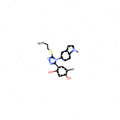 CNCCSc1nnc(-c2cc(C(C)C)c(O)cc2O)n1-c1ccc2c(ccn2C)c1